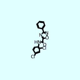 O=C(Nc1ccc(Cl)cc1Cl)c1nc(-c2ccccc2)no1